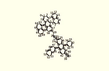 Cc1ccc2c(-c3cccc4ccccc34)c3cc(CC[Si](C)(C)c4ccc5c(-c6ccccc6)c6cc([Si](C)(C)C)ccc6c(-c6ccc7ccccc7c6)c5c4)ccc3c(-c3cccc4ccccc34)c2c1